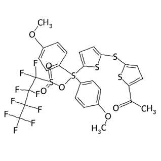 COc1ccc(S(OS(=O)(=O)C(F)(F)C(F)(F)C(F)(F)C(F)(F)F)(c2ccc(OC)cc2)c2ccc(Sc3ccc(C(C)=O)s3)s2)cc1